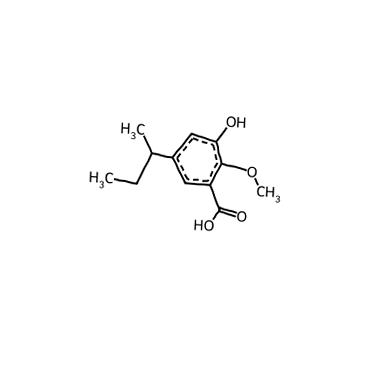 CCC(C)c1cc(O)c(OC)c(C(=O)O)c1